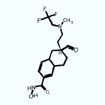 CN(CC[C@@]1(C=O)CCC2C=C(C(=O)NO)C=CC2C1)CC(F)(F)F